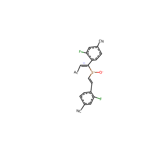 CC(=O)/C=C(/c1ccc(C#N)cc1F)[S+]([O-])C=Cc1ccc(C#N)cc1F